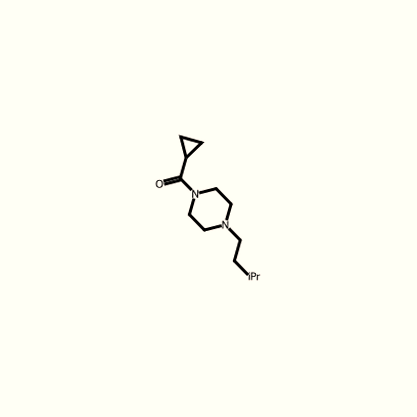 CC(C)CCN1CCN(C(=O)C2CC2)CC1